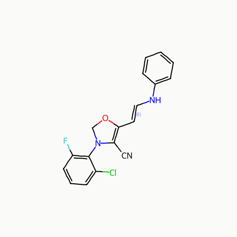 N#CC1=C(/C=C/Nc2ccccc2)OCN1c1c(F)cccc1Cl